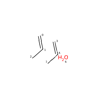 C=CC.C=CC.O